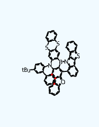 CC(C)(C)c1ccc(N2c3cc4c(cc3B3c5c2cc2c(oc6ccccc62)c5-c2cccc5c6sc7ccccc7c6n3c25)Sc2ccccc2S4)c(-c2ccccc2)c1